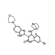 O=c1[nH]c2cc(Br)ccc2c(N[C@H]2CN3CCC2CC3)c1-c1nc2cc(N3CCOCC3)ccc2[nH]1